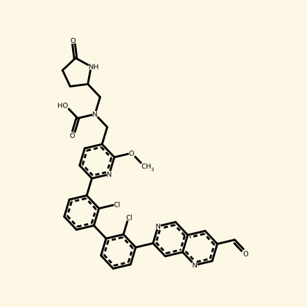 COc1nc(-c2cccc(-c3cccc(-c4cc5ncc(C=O)cc5cn4)c3Cl)c2Cl)ccc1CN(CC1CCC(=O)N1)C(=O)O